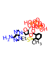 CCSSC(C)c1ccccc1C(=O)O[C@@H]1C[C@H](n2cnc3c(N)ncnc32)O[C@@H]1COP(=O)(O)OP(=O)(O)OP(=O)(O)O